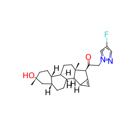 C[C@@]1(O)CC[C@H]2[C@H](CC[C@@H]3[C@@H]2CC[C@]2(C)[C@@H](C(=O)Cn4cc(F)cn4)C4=C[C@H]4[C@@H]32)C1